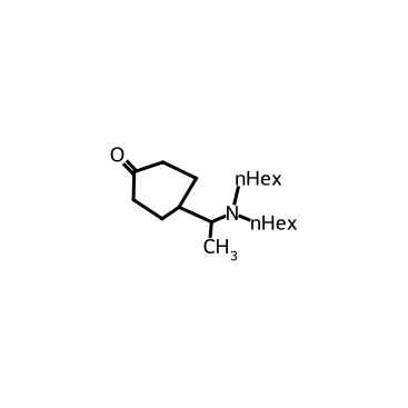 CCCCCCN(CCCCCC)C(C)C1CCC(=O)CC1